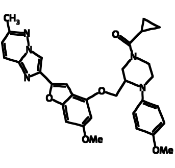 COc1ccc(N2CCN(C(=O)C3CC3)CC2COc2cc(OC)cc3oc(-c4cn5nc(C)ccc5n4)cc23)cc1